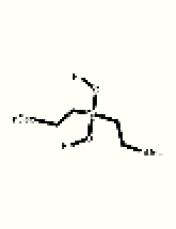 CCCCCCCCCCCC[Si](CCCCCCCCCCCC)(OCC)OCC